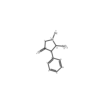 CC(=O)N1CC(=O)C(c2ccccc2)C1[N+](=O)[O-]